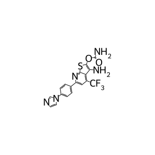 NC(=O)Oc1sc2nc(-c3ccc(-n4ccnc4)cc3)cc(C(F)(F)F)c2c1N